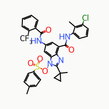 Cc1ccc(S(=O)(=O)On2c(C3(C)CC3)nc3c(C(=O)Nc4cccc(Cl)c4C)cc(NC(=O)c4ccccc4C(F)(F)F)cc32)cc1